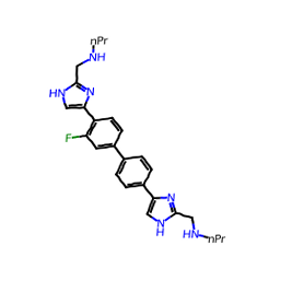 CCCNCc1nc(-c2ccc(-c3ccc(-c4c[nH]c(CNCCC)n4)c(F)c3)cc2)c[nH]1